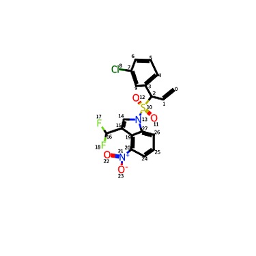 C=CC(c1cccc(Cl)c1)S(=O)(=O)n1cc(C(F)F)c2c([N+](=O)[O-])cccc21